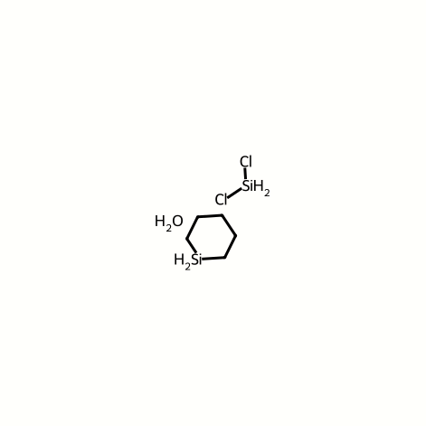 C1CC[SiH2]CC1.Cl[SiH2]Cl.O